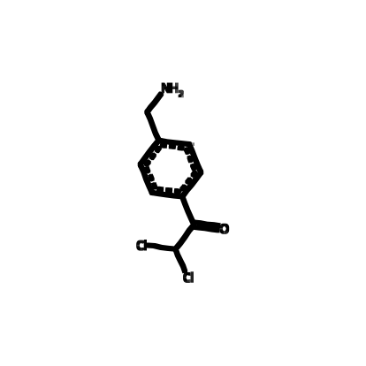 NCc1[c]cc(C(=O)C(Cl)Cl)cc1